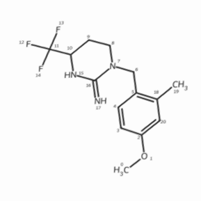 COc1ccc(CN2CCC(C(F)(F)F)NC2=N)c(C)c1